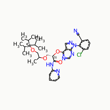 CC(CO[Si](C(C)C)(C(C)C)C(C)C)OC[C@H](Oc1ncnc2c1cnn2-c1c(Cl)cccc1C#N)C(=O)Nc1ccccn1